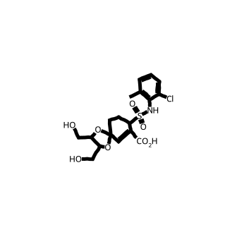 Cc1cccc(Cl)c1NS(=O)(=O)C1CCC2(C=C1C(=O)O)OC(CO)C(CO)O2